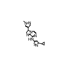 Cn1cc(C2CN=C3C(Nc4cc(C5CC5)ns4)=NC=CN32)cn1